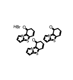 Br.O=C1CC=Cc2sc3cccn3c21.O=C1CC=Cc2sc3cccn3c21.O=C1CC=Cc2sc3cccn3c21